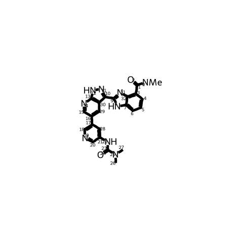 CNC(=O)c1cccc2[nH]c(-c3n[nH]c4ncc(-c5cncc(NC(=O)N(C)C)c5)cc34)nc12